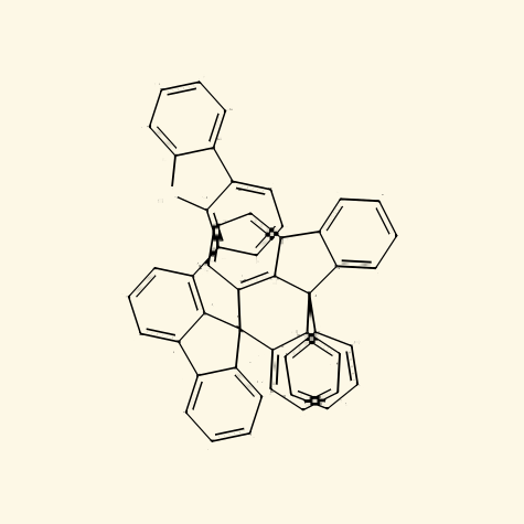 c1ccc(C23c4ccccc4-c4cccc(c42)C2(c4ccccc4-c4cccc(-c5cccc6c5sc5ccccc56)c42)c2ccccc23)cc1